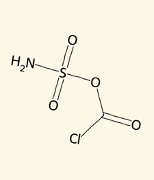 NS(=O)(=O)OC(=O)Cl